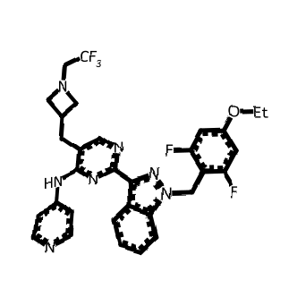 CCOc1cc(F)c(Cn2nc(-c3ncc(CC4CN(CC(F)(F)F)C4)c(Nc4ccncc4)n3)c3ccccc32)c(F)c1